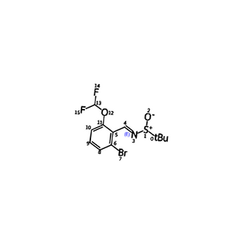 CC(C)(C)[S+]([O-])/N=C/c1c(Br)cccc1OC(F)F